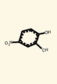 [CH]c1cc([N+](=O)[O-])ccc1O